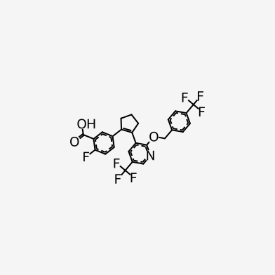 O=C(O)c1cc(C2=C(c3cc(C(F)(F)F)cnc3OCc3ccc(C(F)(F)F)cc3)CCC2)ccc1F